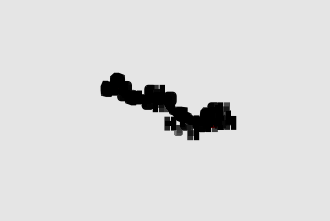 C[C@H](Cc1ccc(CCNC(=O)c2ccc(N(C)C(=O)CCN3CCC(OC(=O)Nc4ccccc4-c4ccccc4)CC3)cc2)cc1)NC[C@H](O)c1ccc(O)c2c1C=CC(O)N2